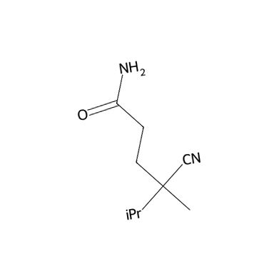 CC(C)C(C)(C#N)CCC(N)=O